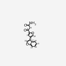 NC(=O)CC(=O)c1cc(-c2coc3ccccc23)co1